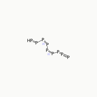 P#P=P/P=P\P=P/P=P